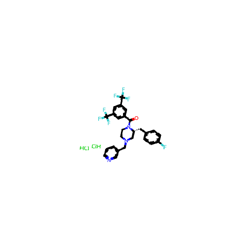 Cl.Cl.O=C(c1cc(C(F)(F)F)cc(C(F)(F)F)c1)N1CCN(Cc2cccnc2)C[C@H]1Cc1ccc(F)cc1